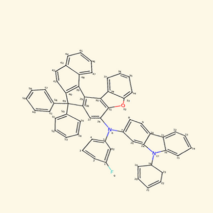 Fc1cccc(N(c2ccc3c4ccccc4n(C4C=CC=CC4)c3c2)c2cc3c(c4c2oc2ccccc24)-c2c(ccc4ccccc24)C3(c2ccccc2)c2ccccc2)c1